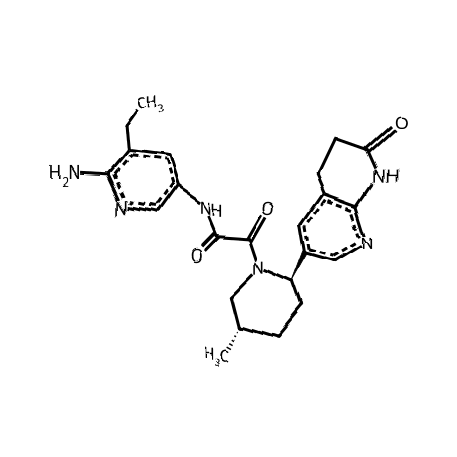 CCc1cc(NC(=O)C(=O)N2C[C@@H](C)CC[C@@H]2c2cnc3c(c2)CCC(=O)N3)cnc1N